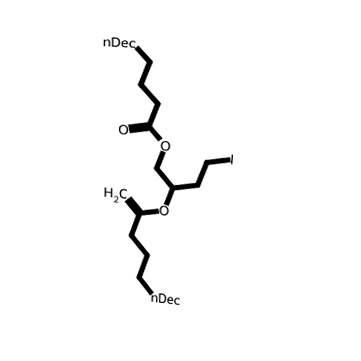 C=C(CCCCCCCCCCCCC)OC(CCI)COC(=O)CCCCCCCCCCCCC